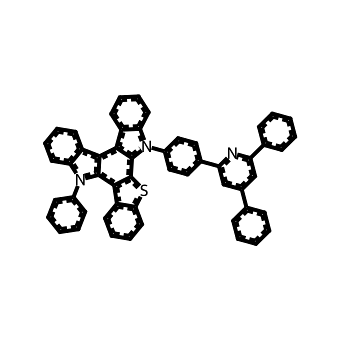 c1ccc(-c2cc(-c3ccccc3)nc(-c3ccc(-n4c5ccccc5c5c6c7ccccc7n(-c7ccccc7)c6c6c7ccccc7sc6c54)cc3)c2)cc1